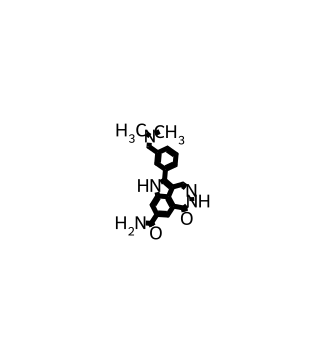 CN(C)Cc1cccc(-c2[nH]c3cc(C(N)=O)cc4c3c2C=NNC4=O)c1